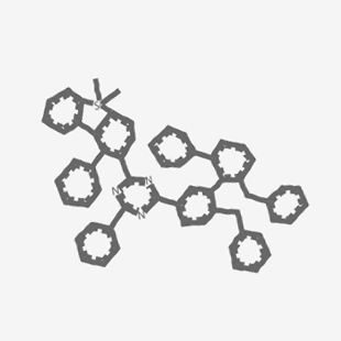 C[Si]1(C)c2ccccc2-c2c1ccc(-c1nc(-c3ccccc3)nc(-c3ccc(Cc4ccccc4)c(-c4c(Cc5ccccc5)cccc4-c4ccccc4)c3)n1)c2-c1ccccc1